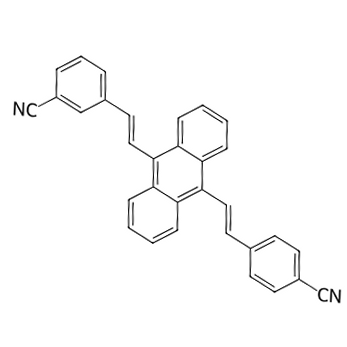 N#Cc1ccc(C=Cc2c3ccccc3c(C=Cc3cccc(C#N)c3)c3ccccc23)cc1